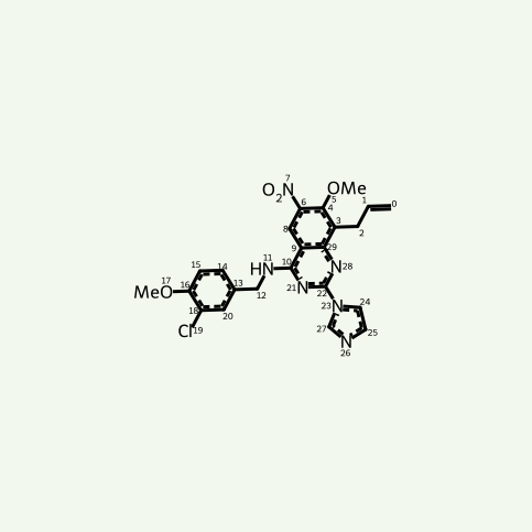 C=CCc1c(OC)c([N+](=O)[O-])cc2c(NCc3ccc(OC)c(Cl)c3)nc(-n3ccnc3)nc12